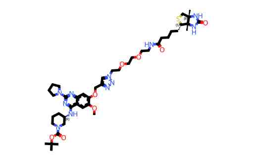 COc1cc2c(N[C@@H]3CCCN(C(=O)OC(C)(C)C)C3)nc(N3CCCC3)nc2cc1OCc1cn(CCOCCOCCNC(=O)CCCC[C@@H]2SC[C@]3(C)NC(=O)N[C@]23C)nn1